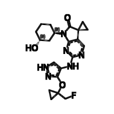 O=C1N([C@@H]2CCC[C@@H](O)C2)c2nc(Nc3c[nH]nc3OC3(CF)CC3)ncc2C12CC2